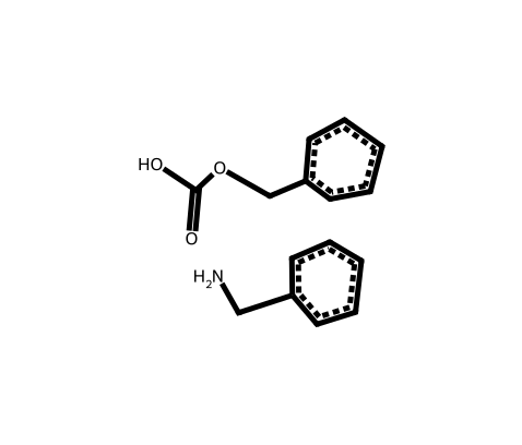 NCc1ccccc1.O=C(O)OCc1ccccc1